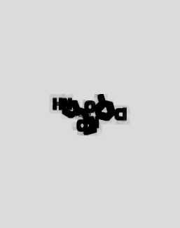 Cc1cc(Cl)ccc1O[C@H](c1ncco1)[C@H]1CCNC1